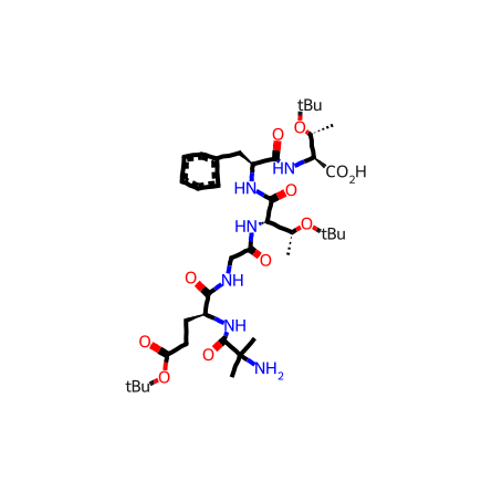 C[C@@H](OC(C)(C)C)[C@H](NC(=O)[C@H](Cc1ccccc1)NC(=O)[C@@H](NC(=O)CNC(=O)[C@H](CCC(=O)OC(C)(C)C)NC(=O)C(C)(C)N)[C@@H](C)OC(C)(C)C)C(=O)O